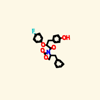 O=C1OCC(Cc2ccccc2)N1C(=O)C(Cc1ccc(O)cc1)Oc1ccc(F)cc1